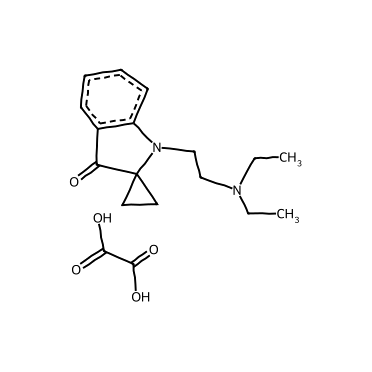 CCN(CC)CCN1c2ccccc2C(=O)C12CC2.O=C(O)C(=O)O